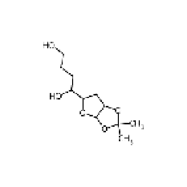 CC1(C)OC2CC(C(O)CSCO)OC2O1